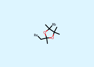 CC1([CH2][Re])OC(C)(C)[C](C)([Rb])O1